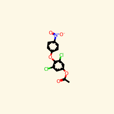 CC(=O)Oc1cc(Cl)c(Oc2ccc([N+](=O)[O-])cc2)c(Cl)c1